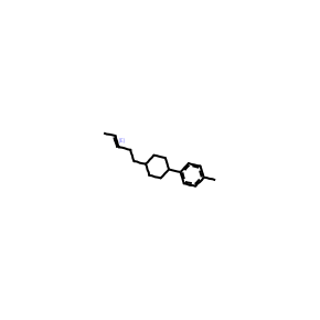 C/C=C/CCC1CCC(c2ccc(C)cc2)CC1